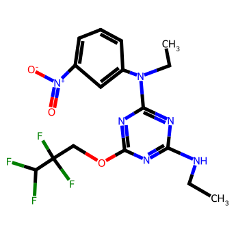 CCNc1nc(OCC(F)(F)C(F)F)nc(N(CC)c2cccc([N+](=O)[O-])c2)n1